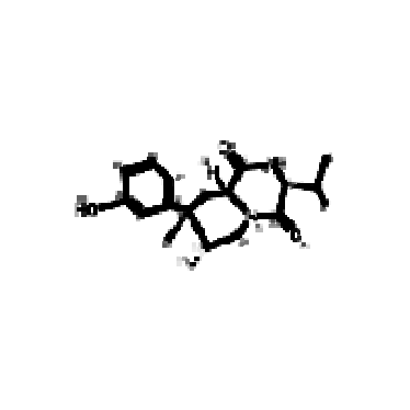 CC(C)[C@@H]1NC(=O)[C@H]2C[C@@](C)(c3cccc(O)c3)[C@@H](C)CN2C1=O